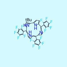 CC(C)(C)c1cc2[nH]c1c1ccc([nH]1)c(-c1c(F)c(F)c(F)c(F)c1F)c1nc(c(-c3c(F)c(F)c(F)c(F)c3F)c3ccc([nH]3)c2-c2c(F)c(F)c(F)c(F)c2F)C=C1